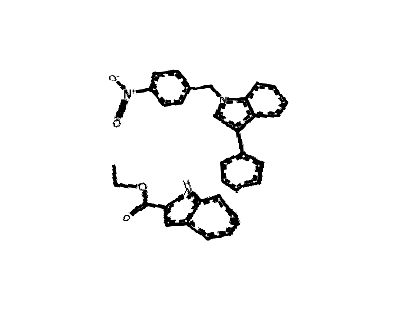 CCOC(=O)c1cc2ccccc2[nH]1.O=[N+]([O-])c1ccc(Cn2cc(-c3ccccc3)c3ccccc32)cc1